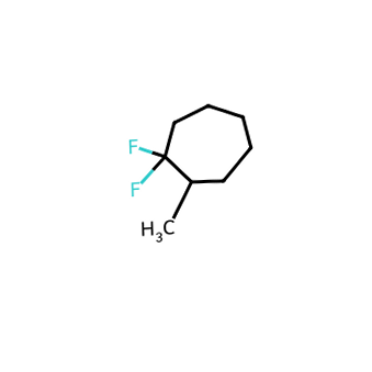 CC1CCCCCC1(F)F